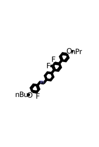 CCCCOc1ccc(/C=C/C2CCC(c3ccc(-c4ccc(OCCC)cc4)c(F)c3F)CC2)cc1F